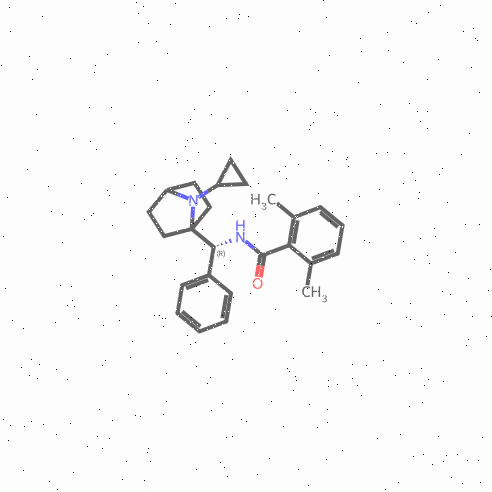 Cc1cccc(C)c1C(=O)N[C@H](c1ccccc1)C12CCC(CC1)N2C1CC1